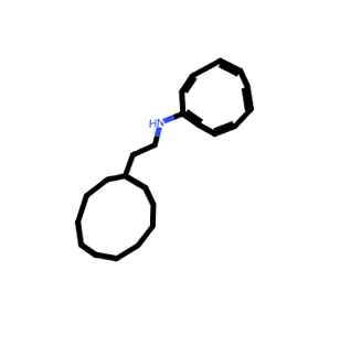 c1ccccc(NCCC2CCCCCCCCCC2)cccc1